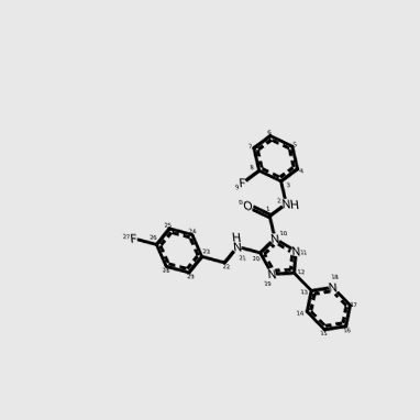 O=C(Nc1ccccc1F)n1nc(-c2ccccn2)nc1NCc1ccc(F)cc1